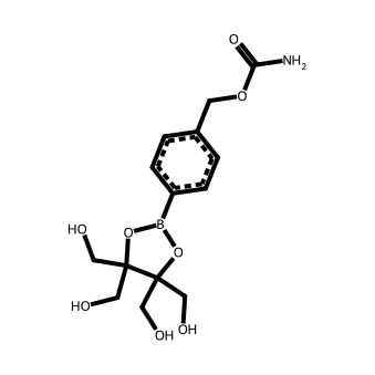 NC(=O)OCc1ccc(B2OC(CO)(CO)C(CO)(CO)O2)cc1